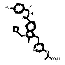 Cc1c(Cc2cncc(O[C@H](C)C(=O)O)c2)c2ccc(C(=O)N[C@@H](C)c3ccc(C(C)(C)C)cc3)cc2n1CC1CCC1